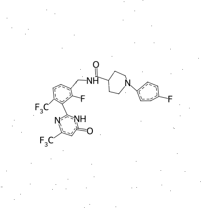 O=C(NCc1ccc(C(F)(F)F)c(-c2nc(C(F)(F)F)cc(=O)[nH]2)c1F)C1CCN(c2ccc(F)cc2)CC1